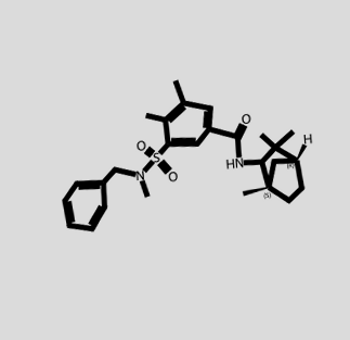 Cc1cc(C(=O)NC2C(C)(C)[C@@H]3CC[C@@]2(C)C3)cc(S(=O)(=O)N(C)Cc2ccccc2)c1C